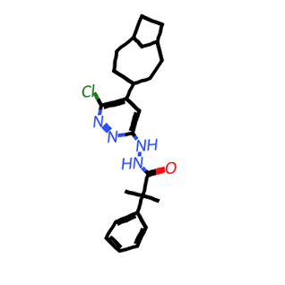 CC(C)(C(=O)NNc1cc(C2CCC3CCC(CC2)C3)c(Cl)nn1)c1ccccc1